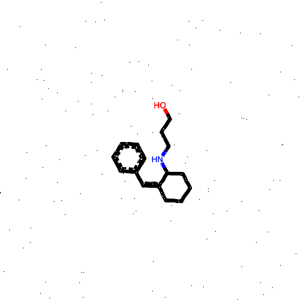 OCCCNC1CCCCC1=Cc1ccccc1